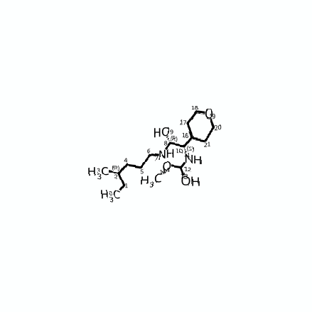 CC[C@@H](C)CCCN[C@H](O)[C@@H](NC(O)OC)C1CCOCC1